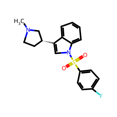 CN1CC[C@@H](c2cn(S(=O)(=O)c3ccc(F)cc3)c3ccccc23)C1